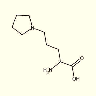 NC(CCCN1CCCC1)C(=O)O